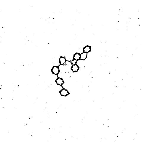 C1=NC(n2c3ccccc3c3c4c(ccc32)-c2ccccc2CC4)NC(c2cccc(-c3ccc(-c4ccccc4)cc3)c2)=C1